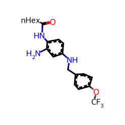 CCCCCCC(=O)Nc1ccc(NCc2ccc(OC(F)(F)F)cc2)cc1N